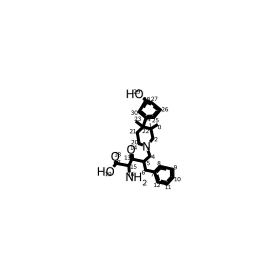 CC1CN(CC(Cc2ccccc2)C(=O)C(N)C(=O)O)CCC1(C)c1cccc(O)c1